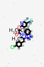 CC(NC(=O)C(C)(C)Oc1ccc(C(F)(F)F)cn1)C(Cc1ccc(Cl)cc1)n1nnc2ccccc21